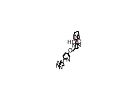 O=C(O)N1C2CCC1CC(n1ncc(COc3ccc(-n4cnnn4)nc3)n1)C2